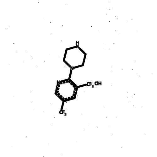 Cl.FC(F)(F)c1cnc(N2CCNCC2)c(C(F)(F)F)c1